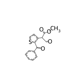 COC(=O)C(C=O)c1ccsc1C(=O)c1ccccc1